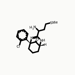 CSCCC(N)C1=N[C@@]2(c3ccccc3Cl)CCC[C@@H](N1)C2=O